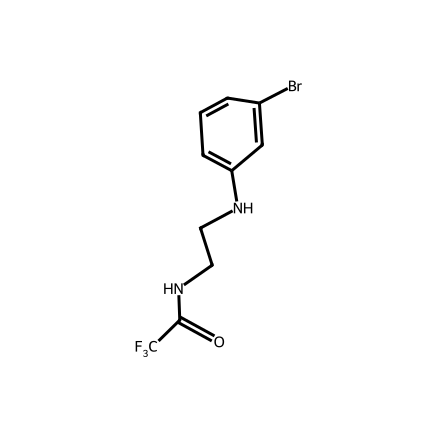 O=C(NCCNc1cccc(Br)c1)C(F)(F)F